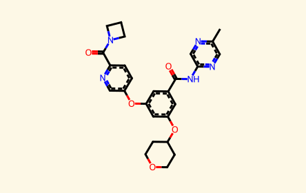 Cc1cnc(NC(=O)c2cc(Oc3ccc(C(=O)N4CCC4)nc3)cc(OC3CCOCC3)c2)cn1